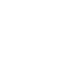 C[C@H]1COS(=O)(=O)C1